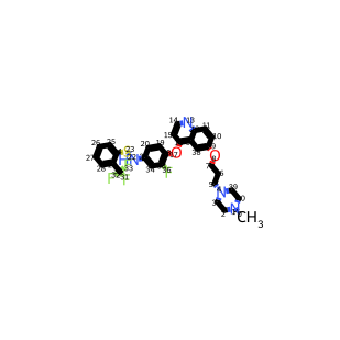 CN1CCN(CCCOc2ccc3nccc(Oc4ccc(NSc5ccccc5C(F)(F)F)cc4F)c3c2)CC1